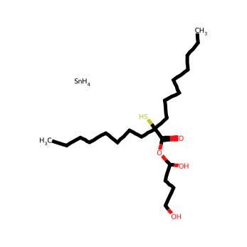 CCCCCCCCC(S)(CCCCCCCC)C(=O)OC(O)CCCO.[SnH4]